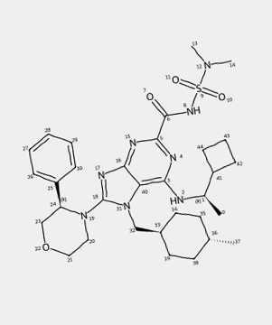 C[C@@H](Nc1nc(C(=O)NS(=O)(=O)N(C)C)nc2nc(N3CCOC[C@H]3c3ccccc3)n(C[C@H]3CC[C@H](C)CC3)c12)C1CCC1